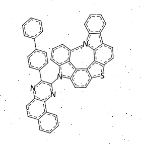 c1ccc(-c2ccc(-c3nc4ccc5ccccc5c4nc3-n3c4ccc5sc6ccc7c8ccccc8n8c9cccc3c9c4c5c6c78)cc2)cc1